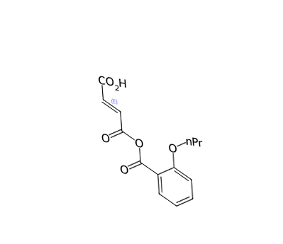 CCCOc1ccccc1C(=O)OC(=O)/C=C/C(=O)O